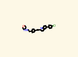 Clc1ccc(-c2ccc3nc(C#Cc4ccc(CCNC5CCOCC5)cc4)ccc3c2)cc1